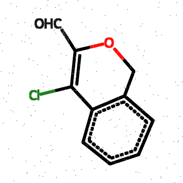 O=CC1=C(Cl)c2ccccc2CO1